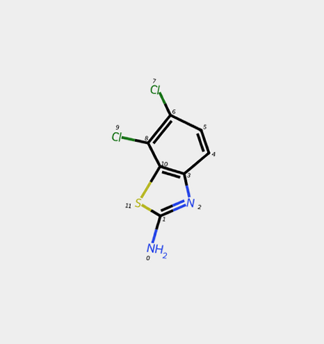 Nc1nc2ccc(Cl)c(Cl)c2s1